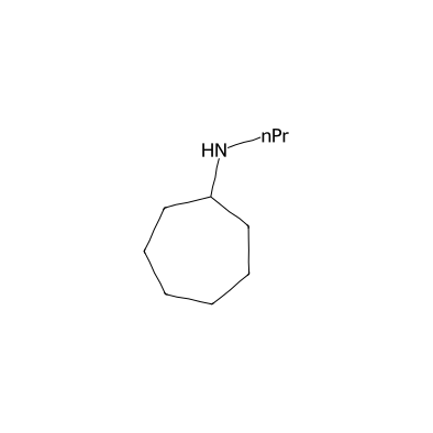 CCCNC1CCCCCC1